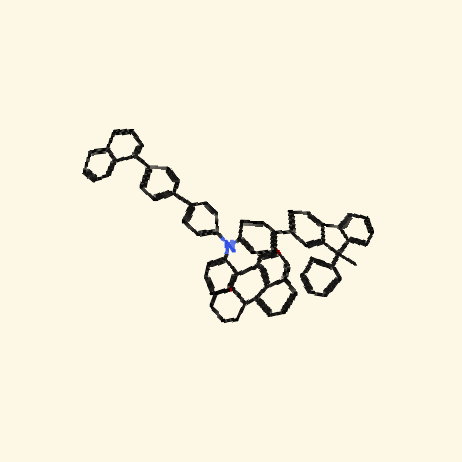 CC1(c2ccccc2)c2ccccc2-c2ccc(-c3ccc(N(c4ccc(-c5ccc(-c6cccc7ccccc67)cc5)cc4)c4ccccc4-c4cccc5cccc(C6CCCCC6)c45)cc3)cc21